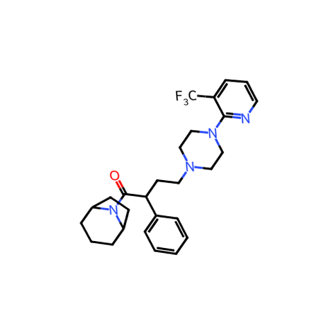 O=C(C(CCN1CCN(c2ncccc2C(F)(F)F)CC1)c1ccccc1)N1C2CCCC1CC2